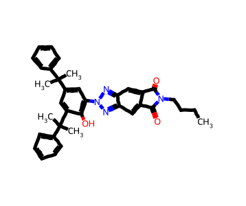 CCCCN1C(=O)c2cc3nn(-c4cc(C(C)(C)c5ccccc5)cc(C(C)(C)c5ccccc5)c4O)nc3cc2C1=O